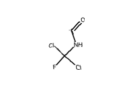 O=[C]NC(F)(Cl)Cl